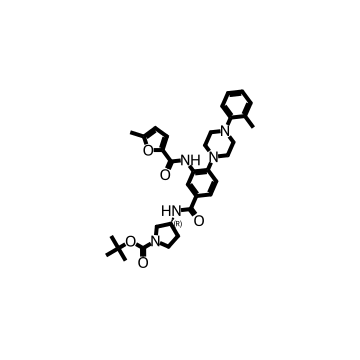 Cc1ccc(C(=O)Nc2cc(C(=O)N[C@@H]3CCN(C(=O)OC(C)(C)C)C3)ccc2N2CCN(c3ccccc3C)CC2)o1